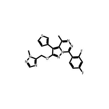 Cc1nnc(-c2ccc(F)cc2F)n2nc(OCc3ncnn3C)c(-c3ccsc3)c12